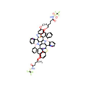 COc1ccc2sc(/C(C#N)=c3\c4c(-c5ccc(OCCCCC(=O)NS(=O)(=O)C(F)(F)F)cc5)n(B(c5ccccc5)c5ccccc5)/c(=C(\C#N)c5nc6cc(OC)ccc6s5)c4c(-c4ccc(OCCCCC(=O)NSC(F)(F)F)cc4)n3B(c3ccccc3)c3ccccc3)nc2c1